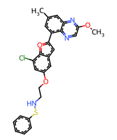 COc1cnc2c(-c3cc4cc(OCCNSc5ccccc5)cc(Cl)c4o3)cc(C)cc2n1